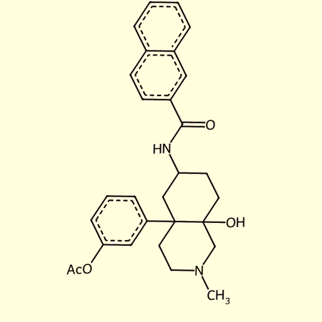 CC(=O)Oc1cccc(C23CCN(C)CC2(O)CCC(NC(=O)c2ccc4ccccc4c2)C3)c1